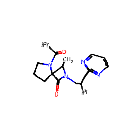 CC(C)C(=O)N1CCCC12C(=O)N(C(c1ncccn1)C(C)C)C2C